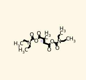 CCN(CC)C(=O)OC(=O)/C=C(\C)C(=O)OC(=O)N(CC)CC